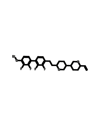 C=CC1CCC(C2CCC(CCc3ccc(-c4ccc(OCC)c(F)c4F)c(F)c3F)OC2)CO1